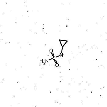 NS(=O)(=O)[N]C1CC1